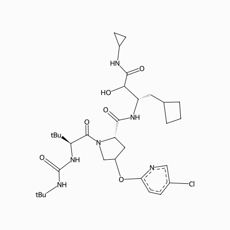 CC(C)(C)NC(=O)N[C@H](C(=O)N1CC(Oc2ccc(Cl)cn2)C[C@H]1C(=O)N[C@@H](CC1CCC1)C(O)C(=O)NC1CC1)C(C)(C)C